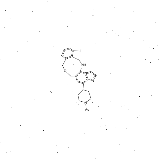 CC(=O)N1CCC(c2cc3c(n4cnnc24)NCc2c(F)cccc2COC3)CC1